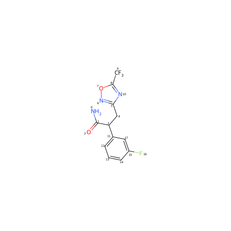 NC(=O)C(Cc1noc(C(F)(F)F)n1)c1cccc(F)c1